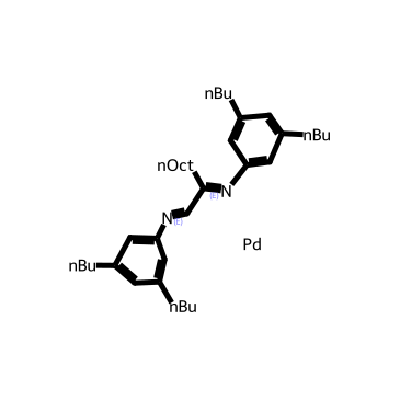 CCCCCCCCC(/C=N/c1cc(CCCC)cc(CCCC)c1)=N\c1cc(CCCC)cc(CCCC)c1.[Pd]